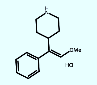 CO/C=C(/c1ccccc1)C1CCNCC1.Cl